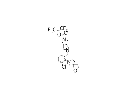 O=C(OC(C(F)(F)F)C(F)(F)F)N1CC2CN(Cc3cccc(Cl)c3N3CCC4(CCOC4)C3)CC2C1